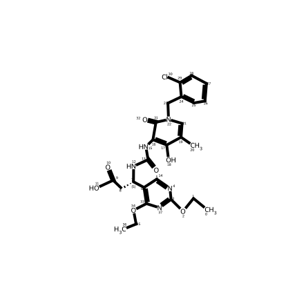 CCOc1ncc([C@H](CC(=O)O)NC(=O)Nc2c(O)c(C)cn(Cc3ccccc3Cl)c2=O)c(OCC)n1